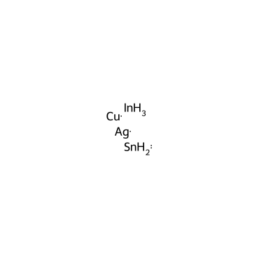 [Ag].[Cu].[InH3].[SnH2]